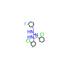 Fc1cccc(CNC2=N[C@@H](c3ccccc3Cl)[C@@H](c3ccccc3Cl)N2)c1